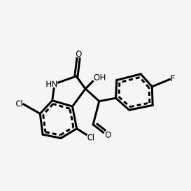 O=CC(c1ccc(F)cc1)C1(O)C(=O)Nc2c(Cl)ccc(Cl)c21